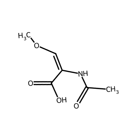 CO/C=C(/NC(C)=O)C(=O)O